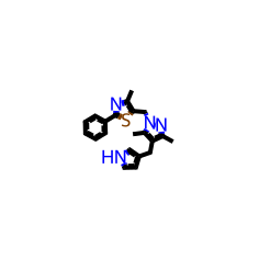 Cc1nc(-c2ccccc2)sc1Cn1nc(C)c(Cc2cc[nH]c2)c1C